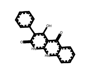 O=c1[nH]c2[nH]c3ccccc3c(=O)c2c(O)c1-c1ccccc1